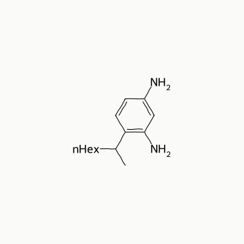 CCCCCCC(C)c1ccc(N)cc1N